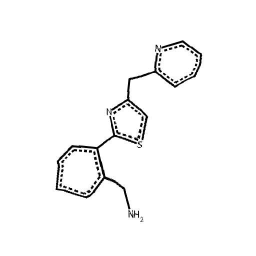 NCc1ccccc1-c1nc(Cc2ccccn2)cs1